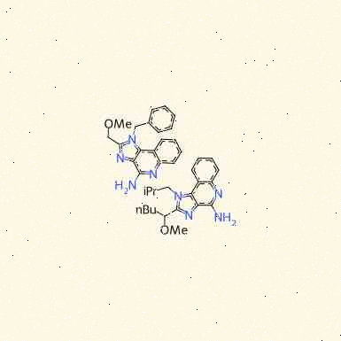 CCCCC(OC)c1nc2c(N)nc3ccccc3c2n1CC(C)C.COCc1nc2c(N)nc3ccccc3c2n1Cc1ccccc1